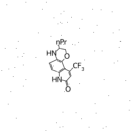 CCCC1COc2c(ccc3[nH]c(=O)cc(C(F)(F)F)c23)N1